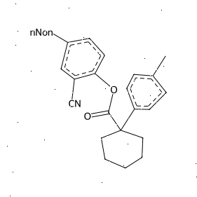 CCCCCCCCCc1ccc(OC(=O)C2(c3ccc(C)cc3)CCCCC2)c(C#N)c1